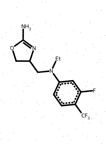 CCN(CC1COC(N)=N1)c1ccc(C(F)(F)F)c(F)c1